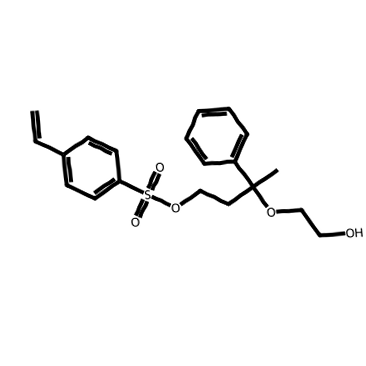 C=Cc1ccc(S(=O)(=O)OCCC(C)(OCCO)c2ccccc2)cc1